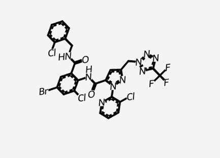 O=C(NCc1ccccc1Cl)c1cc(Br)cc(Cl)c1NC(=O)c1cc(Cn2nnc(C(F)(F)F)n2)nn1-c1ncccc1Cl